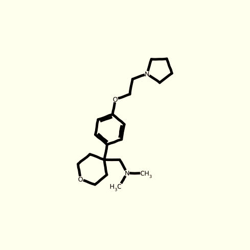 CN(C)CC1(c2ccc(OCCN3CCCC3)cc2)CCOCC1